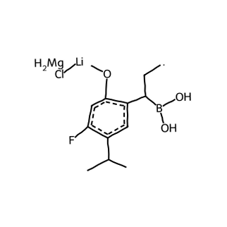 [CH2]CC(B(O)O)c1cc(C(C)C)c(F)cc1OC.[Li][Cl].[MgH2]